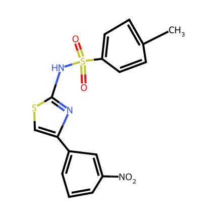 Cc1ccc(S(=O)(=O)Nc2nc(-c3cccc([N+](=O)[O-])c3)cs2)cc1